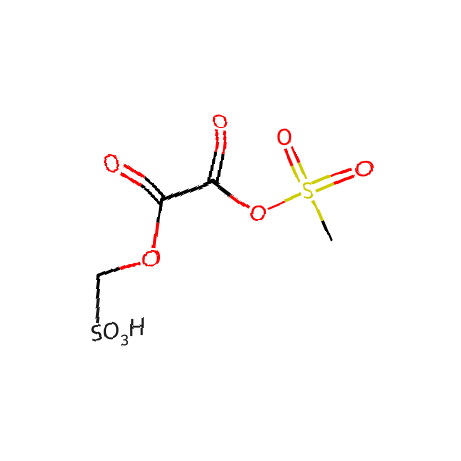 CS(=O)(=O)OC(=O)C(=O)OCS(=O)(=O)O